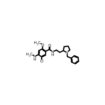 CNc1cc(OC)c(C(=O)NCCC2CCCN2Cc2ccccc2)cc1Cl